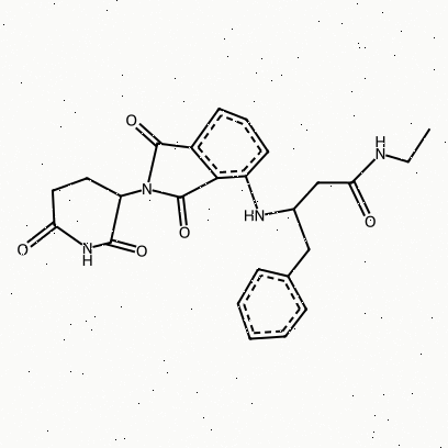 CCNC(=O)CC(Cc1ccccc1)Nc1cccc2c1C(=O)N(C1CCC(=O)NC1=O)C2=O